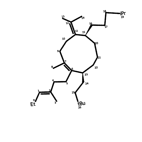 CC/C=C(\C)CC/C1=C(\C)CCC(=C(C)C)[C@@H](CCCC(C)C)CCC[C@H]1CCC(C)(C)C